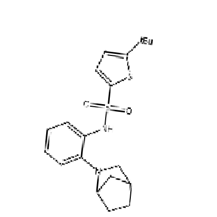 CC(C)(C)c1ccc(S(=O)(=O)Nc2ccccc2N2CC3CCC2C3)s1